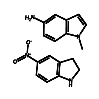 Cn1ccc2cc(N)ccc21.O=[N+]([O-])c1ccc2c(c1)CCN2